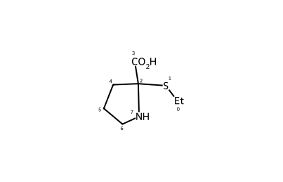 CCSC1(C(=O)O)CCCN1